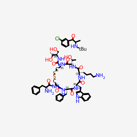 CC(NC(C)(C)C)C(=O)c1cccc(Cl)c1.CC(O)[C@@H]1NC(=O)[C@H](CCCCN)NC(=O)[C@@H](Cc2c[nH]c3ccccc23)NC(=O)[C@H](Cc2ccccc2)NC(=O)[C@@H](NC(=O)[C@H](N)Cc2ccccc2)CSSC[C@@H](C(=O)N[C@H](CO)[C@@H](C)O)NC1=O